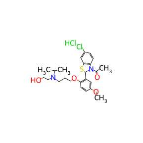 COc1ccc(OCCCN(CCO)C(C)C)c(C2Sc3cc(Cl)ccc3N2C(C)=O)c1.Cl